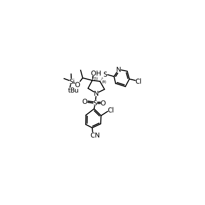 CC(O[Si](C)(C)C(C)(C)C)[C@@]1(O)CN(S(=O)(=O)c2ccc(C#N)cc2Cl)C[C@H]1Sc1ccc(Cl)cn1